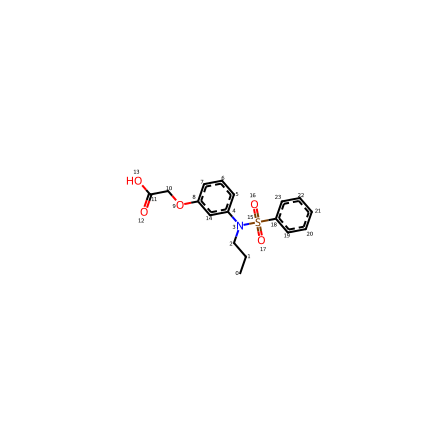 CCCN(c1cccc(OCC(=O)O)c1)S(=O)(=O)c1ccccc1